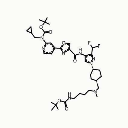 CN(CCCCNC(=O)OC(C)(C)C)C[C@H]1CC[C@H](n2cc(NC(=O)c3coc(-c4ccnc(N(CC5CC5)C(=O)OC(C)(C)C)c4)n3)c(C(F)F)n2)CC1